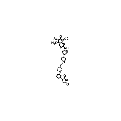 CC(=O)c1c(C)c2cnc(Nc3ccc(C4CCN(CCC5CCN(c6cccc(C7CCC(=O)NC7=O)c6)CC5)CC4)cn3)nc2n(C2CCCC2)c1=O